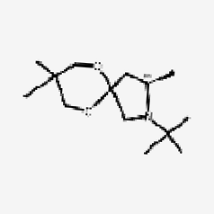 C[C@@H]1CC2(CN1C(C)(C)C)OCC(C)(C)CO2